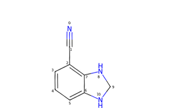 N#Cc1cccc2c1NCN2